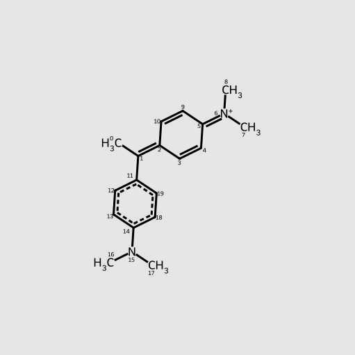 CC(=C1C=CC(=[N+](C)C)C=C1)c1ccc(N(C)C)cc1